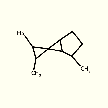 CC1CCC2C1C21C(C)C1S